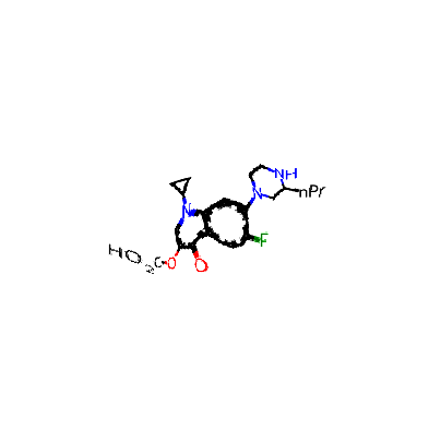 CCCC1CN(c2cc3c(cc2F)c(=O)c(OC(=O)O)cn3C2CC2)CCN1